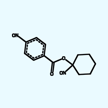 O=Nc1ccc(C(=O)OC2(N=O)CCCCC2)cc1